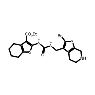 CCOC(=O)c1c(NC(=O)NCc2c(Br)sc3c2CCNC3)sc2c1CCCC2